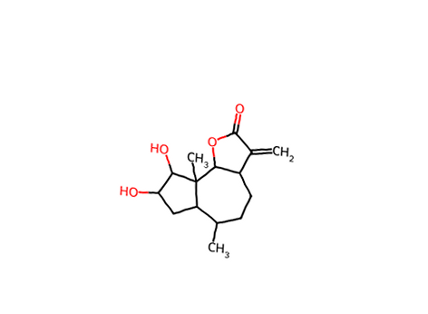 C=C1C(=O)OC2C1CCC(C)C1CC(O)C(O)C12C